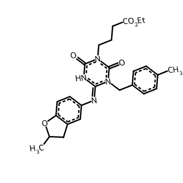 CCOC(=O)CCCn1c(=O)[nH]/c(=N\c2ccc3c(c2)CC(C)O3)n(Cc2ccc(C)cc2)c1=O